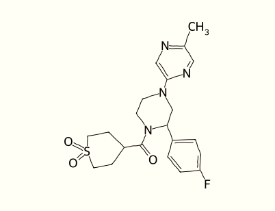 Cc1cnc(N2CCN(C(=O)C3CCS(=O)(=O)CC3)C(c3ccc(F)cc3)C2)cn1